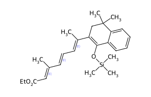 CCOC(=O)/C=C(C)/C=C/C=C(\C)C1=C(O[Si](C)(C)C)c2ccccc2C(C)(C)C1